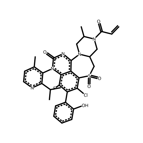 C=CC(=O)N1CC2CS(=O)(=O)c3c(Cl)c(-c4ccccc4O)c(F)c4c3c(nc(=O)n4-c3c(C)ccnc3C(C)C)N2CC1C